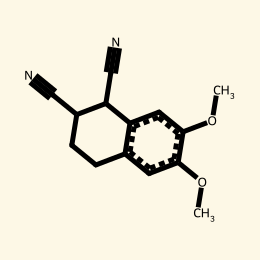 COc1cc2c(cc1OC)C(C#N)C(C#N)CC2